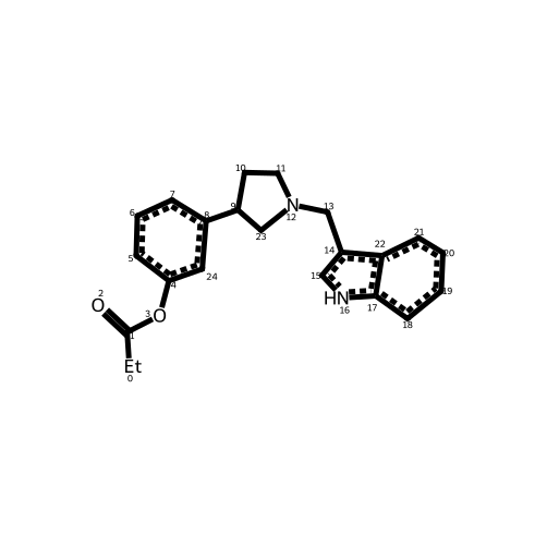 CCC(=O)Oc1cccc(C2CCN(Cc3c[nH]c4ccccc34)C2)c1